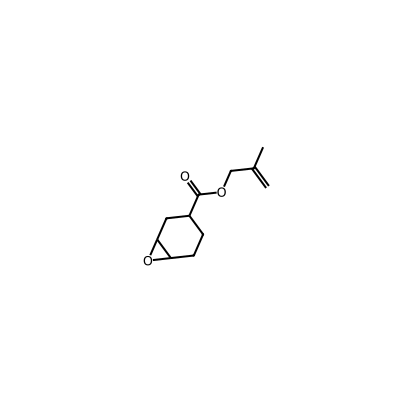 C=C(C)COC(=O)C1CCC2OC2C1